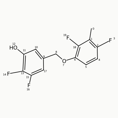 Cc1c(F)ccc(OCc2cc(O)c(F)c(F)c2)c1F